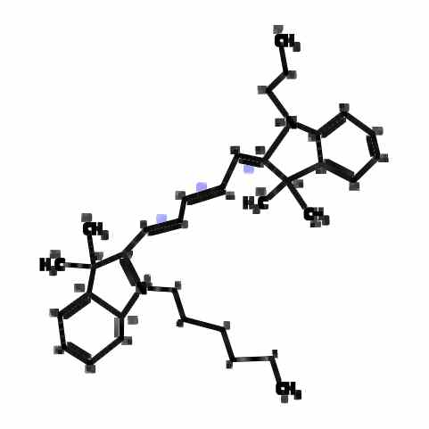 CCCCCC[N+]1=C(/C=C/C=C/C=C2/N(CCC)c3ccccc3C2(C)C)C(C)(C)c2ccccc21